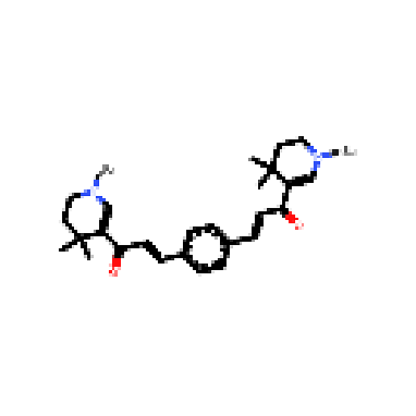 CC1(C)CCN(C(C)(C)C)C=C1C(=O)C=Cc1ccc(C=CC(=O)C2=CN(C(C)(C)C)CCC2(C)C)cc1